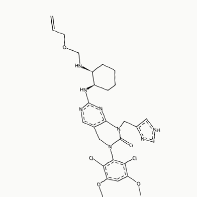 C=CCOCN[C@H]1CCCC[C@H]1Nc1ncc2c(n1)N(Cc1c[nH]cn1)C(=O)N(c1c(Cl)c(OC)cc(OC)c1Cl)C2